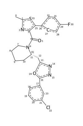 Cc1nc(C(=O)N2CCCC[C@H]2Cc2nnc(-c3cccc(Cl)c3)o2)c(-c2ccc(F)cc2)s1